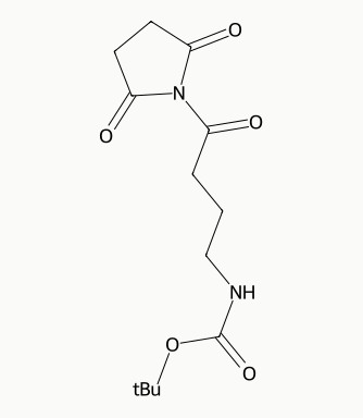 CC(C)(C)OC(=O)NCCCC(=O)N1C(=O)CCC1=O